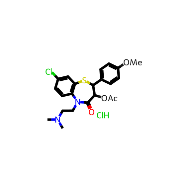 COc1ccc(C2Sc3cc(Cl)ccc3N(CCN(C)C)C(=O)C2OC(C)=O)cc1.Cl